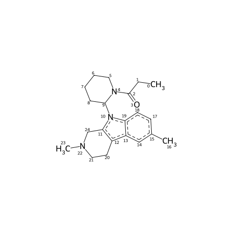 CCC(=O)N1CCCCC1n1c2c(c3cc(C)ccc31)CCN(C)C2